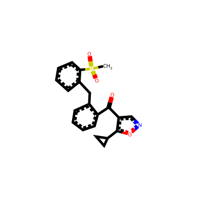 CS(=O)(=O)c1ccccc1Cc1ccccc1C(=O)c1cnoc1C1CC1